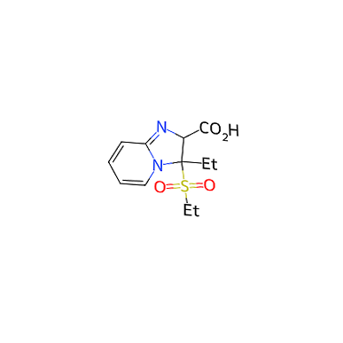 CCC1(S(=O)(=O)CC)C(C(=O)O)N=C2C=CC=CN21